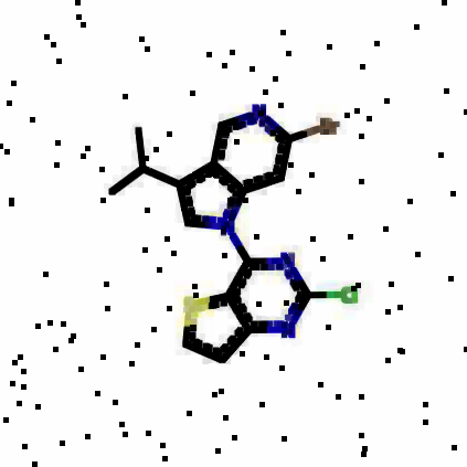 CC(C)c1cn(-c2nc(Cl)nc3ccsc23)c2cc(Br)ncc12